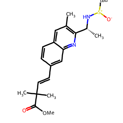 COC(=O)C(C)(C)/C=C/c1ccc2cc(C)c([C@@H](C)N[S+]([O-])C(C)(C)C)nc2c1